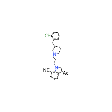 CC(=O)c1cn(CCCN2CCCC(Cc3ccccc3Cl)C2)c2c(C#N)cccc12